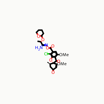 COC1=CC(=O)C[C@@H](C)[C@]12Oc1c(Cl)c(C(=O)O/N=C(\N)C(C)OC3CCCCO3)cc(OC)c1C2=O